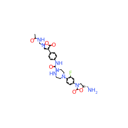 CC(=O)NCn1cc(-c2ccc(NC(=O)N3CCN(c4ccc(N5C[C@H](CN)OC5=O)cc4F)CCN3)cc2)c(=O)o1